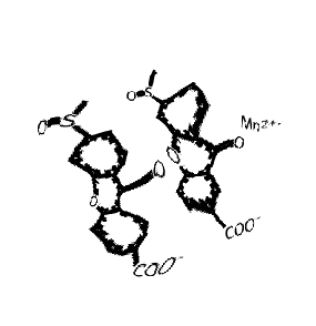 CS(=O)c1ccc2c(=O)c3cc(C(=O)[O-])ccc3oc2c1.CS(=O)c1ccc2c(=O)c3cc(C(=O)[O-])ccc3oc2c1.[Mn+2]